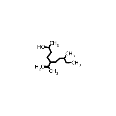 C=C(C)C(CCC(C)O)CCC(C)CC